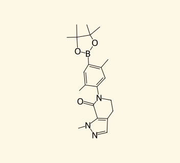 Cc1cc(N2CCc3cnn(C)c3C2=O)c(C)cc1B1OC(C)(C)C(C)(C)O1